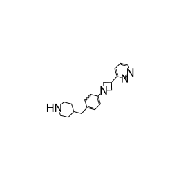 c1cnnc(C2CN(c3ccc(CC4CCNCC4)cc3)C2)c1